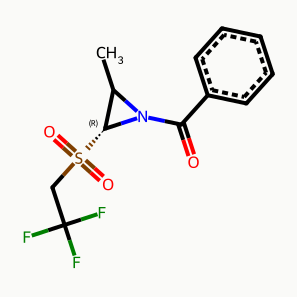 CC1[C@@H](S(=O)(=O)CC(F)(F)F)N1C(=O)c1ccccc1